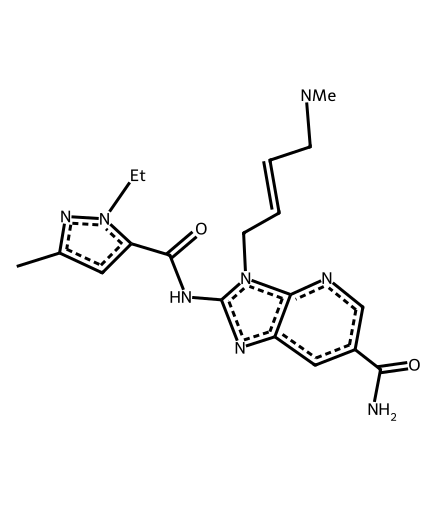 CCn1nc(C)cc1C(=O)Nc1nc2cc(C(N)=O)cnc2n1C/C=C/CNC